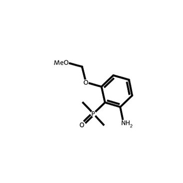 COCOc1cccc(N)c1P(C)(C)=O